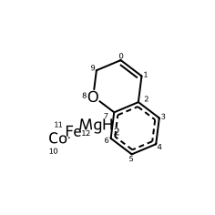 C1=Cc2ccccc2OC1.[Co].[Fe].[MgH2]